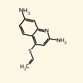 C=CSc1cc(N)nc2cc(N)ccc12